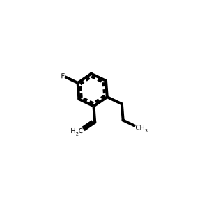 C=Cc1cc(F)ccc1CCC